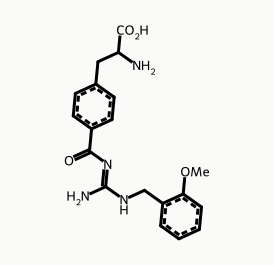 COc1ccccc1CNC(N)=NC(=O)c1ccc(CC(N)C(=O)O)cc1